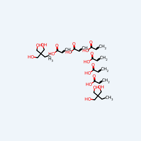 C=CC(=O)O.C=CC(=O)O.C=CC(=O)O.C=CC(=O)O.C=CC(=O)O.C=CC(=O)O.CCC(CO)(CO)CO.CCC(CO)(CO)CO